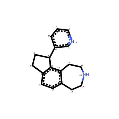 c1cncc(C2CCc3ccc4c(c32)CCNCC4)c1